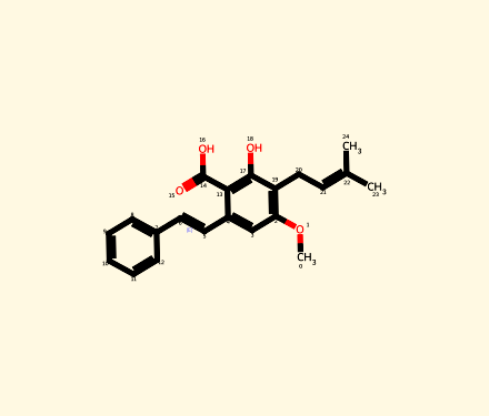 COc1cc(/C=C/c2ccccc2)c(C(=O)O)c(O)c1CC=C(C)C